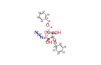 [N-]=[N+]=N[C@@H]1O[C@H](COCc2ccccc2)[C@@H](O)[C@H](OCc2ccccc2)[C@H]1O